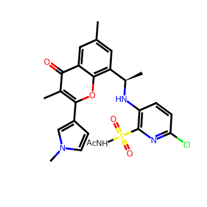 CC(=O)NS(=O)(=O)c1nc(Cl)ccc1N[C@H](C)c1cc(C)cc2c(=O)c(C)c(-c3ccn(C)c3)oc12